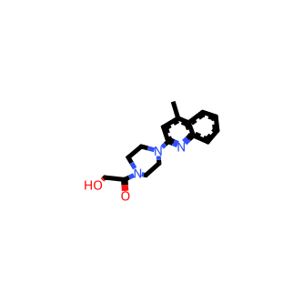 Cc1cc(N2CCN(C(=O)CO)CC2)nc2ccccc12